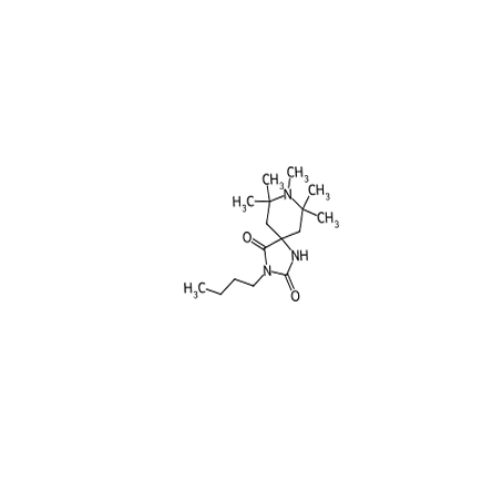 CCCCN1C(=O)NC2(CC(C)(C)N(C)C(C)(C)C2)C1=O